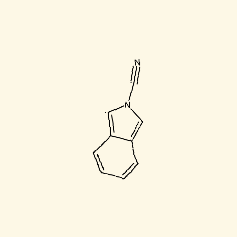 N#Cn1[c]c2ccccc2c1